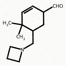 CC1(C)C=CC(C=O)CC1CN1CCC1